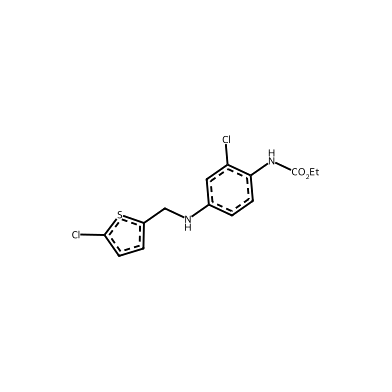 CCOC(=O)Nc1ccc(NCc2ccc(Cl)s2)cc1Cl